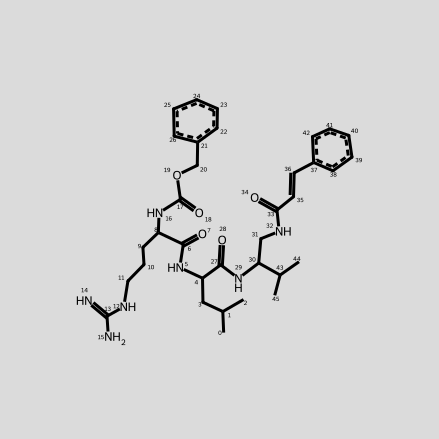 CC(C)CC(NC(=O)C(CCCNC(=N)N)NC(=O)OCc1ccccc1)C(=O)NC(CNC(=O)/C=C/c1ccccc1)C(C)C